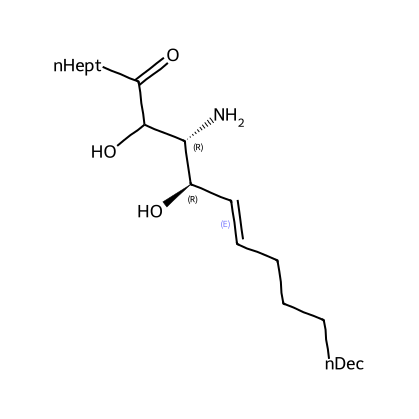 CCCCCCCCCCCCC/C=C/[C@@H](O)[C@@H](N)C(O)C(=O)CCCCCCC